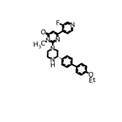 CCOc1ccc(-c2ccc([C@H]3CN(c4nc(-c5ccncc5F)cc(=O)n4C)CCN3)cc2)cc1